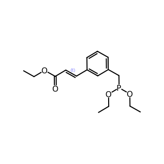 CCOC(=O)/C=C/c1cccc(CP(OCC)OCC)c1